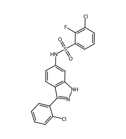 O=S(=O)(Nc1ccc2c(-c3ccccc3Cl)n[nH]c2c1)c1cccc(Cl)c1F